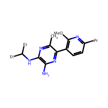 CCC(CC)Nc1nc(C)c(-c2ccc(C(C)C)nc2OC)nc1N